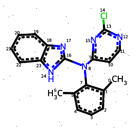 Cc1cccc(C)c1N(c1ccnc(Cl)n1)c1nc2ccccc2[nH]1